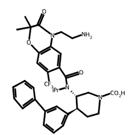 CC(C)N(C(=O)c1cc2c(cc1C(F)(F)F)OC(C)(C)C(=O)N2CCN)[C@@H]1CN(C(=O)O)CC[C@H]1c1cccc(-c2ccccc2)c1